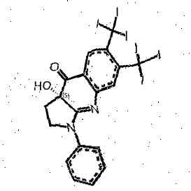 O=C1c2cc(C(I)(I)I)c(C(I)(I)I)cc2N=C2N(c3ccccc3)CC[C@@]12O